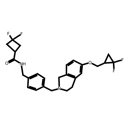 O=C(NCc1ccc(CN2CCc3cc(OCC4CC4(F)F)ccc3C2)cc1)C1CC(F)(F)C1